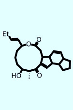 CC/C=C/C1CCCC(O)[C@@H](C)C(=O)C2=CC3C(C=CC4CCCC43)C2CC(=O)O1